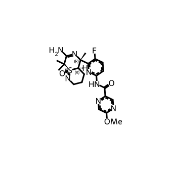 COc1cnc(C(=O)Nc2ccc(F)c([C@@]3(C)N=C(N)C(C)(C)[S@]4(=O)=NCCC[C@H]34)n2)cn1